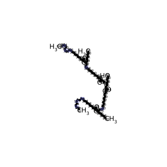 CC/C=C\C/C=C\C/C=C\CCCCCCCC(=O)OC(C/C=C\CCCCCCCCOC(=O)CCN(CCCO)CCC(=O)OCCCCCCCC/C=C\CC(CCCCCC)OC(=O)CCCCCCC/C=C\C/C=C\C/C=C\CC)CCCCCC